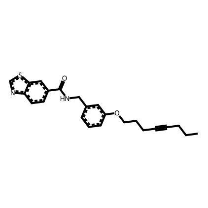 CCCC#CCCCOc1cccc(CNC(=O)c2ccc3ncsc3c2)c1